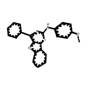 COc1ccc(Nc2nc(-c3ccccc3)c3oc4ccccc4c3n2)cc1